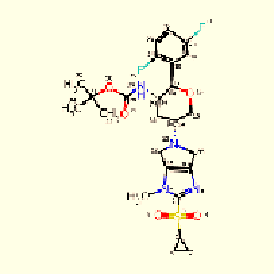 Cn1c(S(=O)(=O)C2CC2)nc2c1CN([C@H]1CO[C@H](c3cc(F)ccc3F)[C@@H](NC(=O)OC(C)(C)C)C1)C2